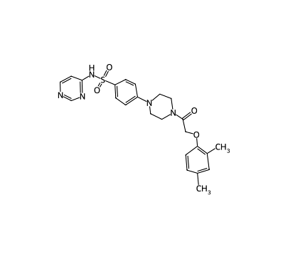 Cc1ccc(OCC(=O)N2CCN(c3ccc(S(=O)(=O)Nc4ccncn4)cc3)CC2)c(C)c1